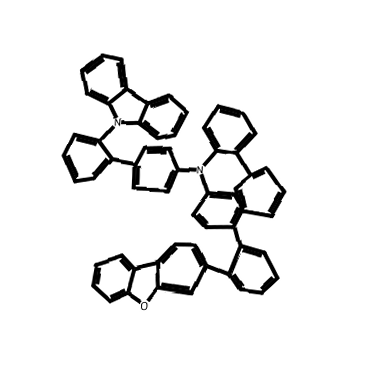 c1ccc(-c2ccccc2N(c2ccc(-c3ccccc3-c3ccc4c(c3)oc3ccccc34)cc2)c2ccc(-c3ccccc3-n3c4ccccc4c4ccccc43)cc2)cc1